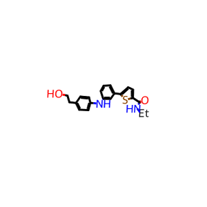 CCNC(=O)c1ccc(-c2cccc(Nc3ccc(CCO)cc3)c2)s1